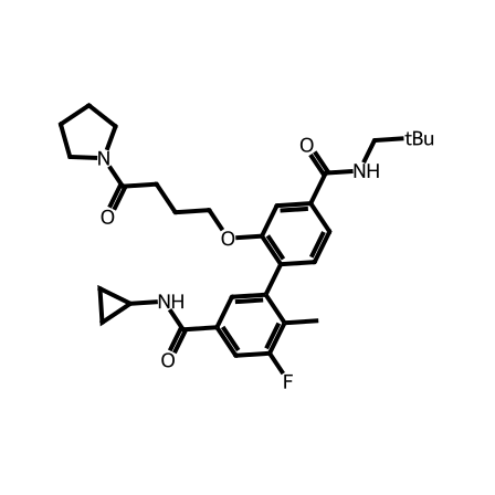 Cc1c(F)cc(C(=O)NC2CC2)cc1-c1ccc(C(=O)NCC(C)(C)C)cc1OCCCC(=O)N1CCCC1